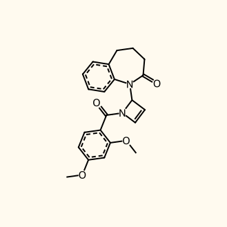 COc1ccc(C(=O)N2C=CC2N2C(=O)CCCc3ccccc32)c(OC)c1